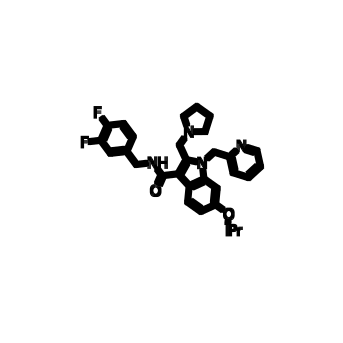 CC(C)Oc1ccc2c(C(=O)NCc3ccc(F)c(F)c3)c(CN3CCCC3)n(Cc3ccccn3)c2c1